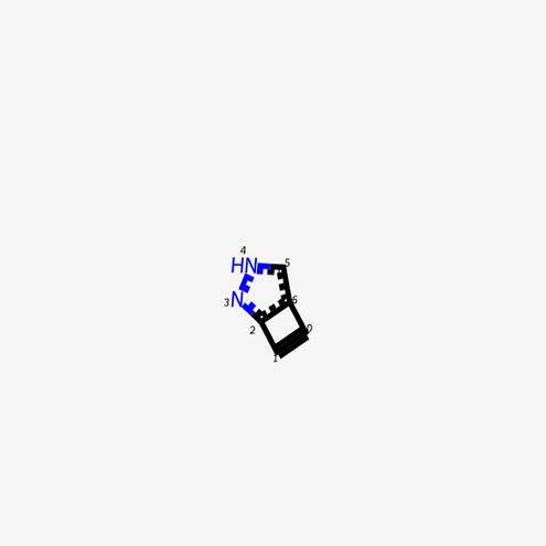 C1#Cc2n[nH]cc21